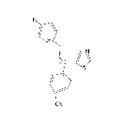 N#Cc1ccc(/C(=C/Cc2ccc(F)cc2)c2cncs2)cc1